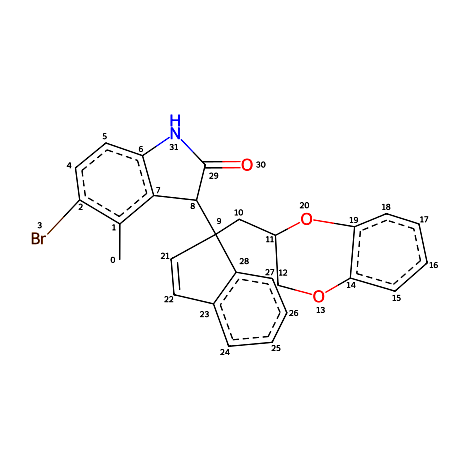 Cc1c(Br)ccc2c1C(C1(CC3COc4ccccc4O3)C=Cc3ccccc31)C(=O)N2